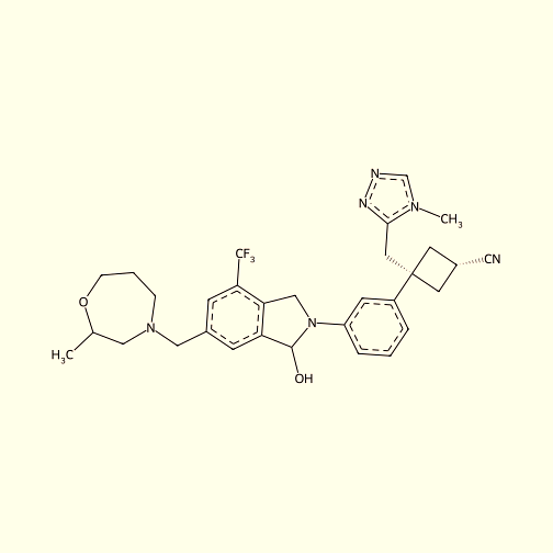 CC1CN(Cc2cc3c(c(C(F)(F)F)c2)CN(c2cccc([C@]4(Cc5nncn5C)C[C@@H](C#N)C4)c2)C3O)CCCO1